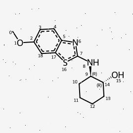 COc1ccc2nc(N[C@@H]3CCCC[C@H]3O)sc2c1